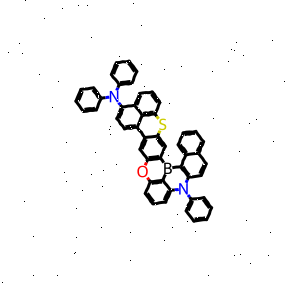 c1ccc(N2c3cccc4c3B(c3cc5c(cc3O4)-c3ccc(N(c4ccccc4)c4ccccc4)c4cccc(c34)S5)c3c2ccc2ccccc32)cc1